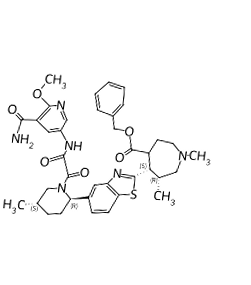 COc1ncc(NC(=O)C(=O)N2C[C@@H](C)CC[C@@H]2c2ccc3sc([C@@H]4C(C(=O)OCc5ccccc5)CCN(C)C[C@@H]4C)nc3c2)cc1C(N)=O